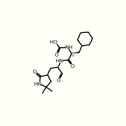 CC1(C)CC(CC(C=O)NC(=O)[C@H](CC2CCCCC2)NC(=O)O)C(=O)N1